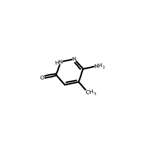 Cc1cc(=O)[nH]nc1N